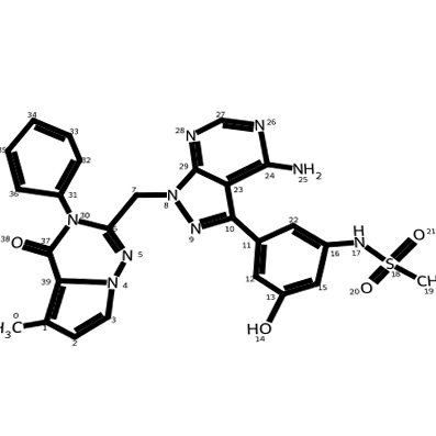 Cc1ccn2nc(Cn3nc(-c4cc(O)cc(NS(C)(=O)=O)c4)c4c(N)ncnc43)n(-c3ccccc3)c(=O)c12